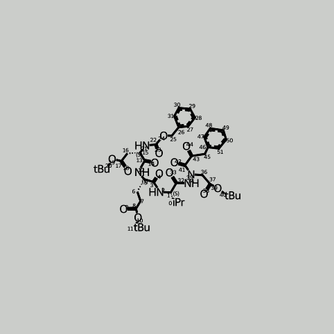 CC(C)[C@H](NC(=O)[C@H](CCC(=O)OC(C)(C)C)NC(=O)[C@H](CC(=O)OC(C)(C)C)NC(=O)OCc1ccccc1)C(=O)NN(CC(=O)OC(C)(C)C)C(=O)C(=O)Cc1ccccc1